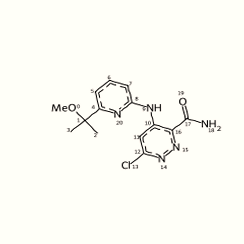 COC(C)(C)c1cccc(Nc2cc(Cl)nnc2C(N)=O)n1